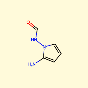 Nc1cccn1NC=O